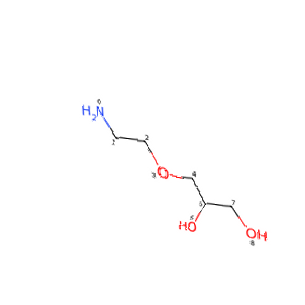 NCCOCC(O)CO